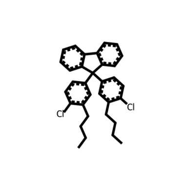 CCCCc1cc(C2(c3ccc(Cl)c(CCCC)c3)c3ccccc3-c3ccccc32)ccc1Cl